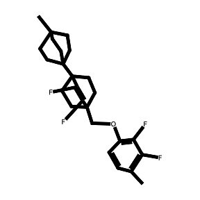 Cc1ccc(OCC23CCC(C45CCC(C)(CC4)CC5)(CC2)C(F)=C3F)c(F)c1F